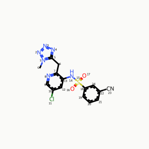 Cn1nnnc1Cc1ncc(Cl)cc1NS(=O)(=O)c1cccc(C#N)c1